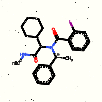 CCCCNC(=O)C(C1CCCCC1)N(C(=O)c1ccccc1I)[C@H](C)c1ccccc1